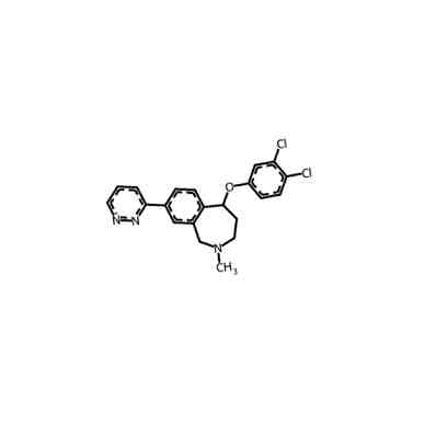 CN1CCC(Oc2ccc(Cl)c(Cl)c2)c2ccc(-c3cccnn3)cc2C1